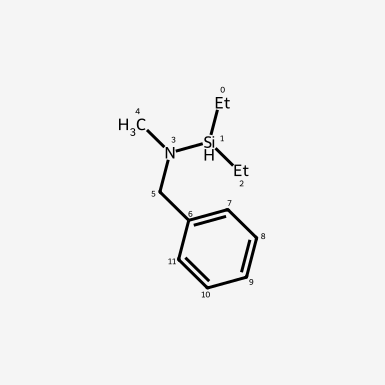 CC[SiH](CC)N(C)Cc1ccccc1